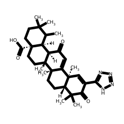 CC1[C@H]2[C@H]3C(=O)C=C4[C@@]5(C)C=C(c6nnn[nH]6)C(=O)C(C)(C)[C@@H]5CC[C@@]4(C)[C@]3(C)CC[C@@]2(C(=O)O)CCC1(C)C